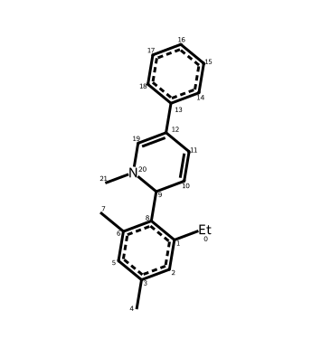 CCc1cc(C)cc(C)c1C1C=CC(c2ccccc2)=CN1C